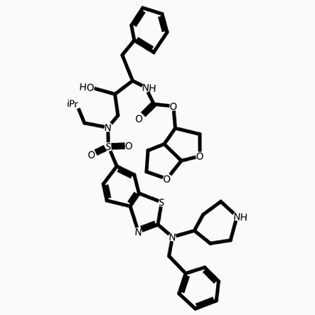 CC(C)CN(CC(O)C(Cc1ccccc1)NC(=O)OC1COC2OCCC12)S(=O)(=O)c1ccc2nc(N(Cc3ccccc3)C3CCNCC3)sc2c1